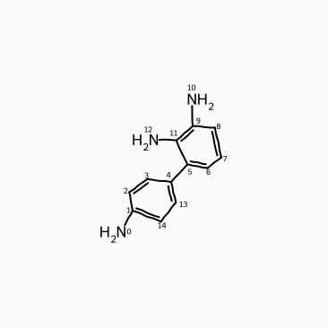 Nc1ccc(-c2cccc(N)c2N)cc1